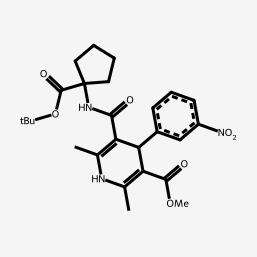 COC(=O)C1=C(C)NC(C)=C(C(=O)NC2(C(=O)OC(C)(C)C)CCCC2)C1c1cccc([N+](=O)[O-])c1